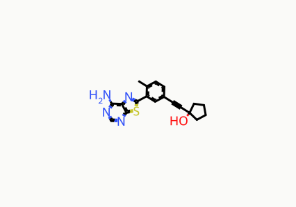 Cc1ccc(C#CC2(O)CCCC2)cc1-c1nc2c(N)ncnc2s1